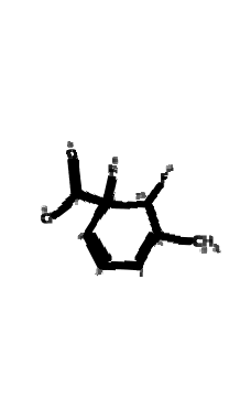 CC1=CC=CC(F)(C(=O)Cl)C1F